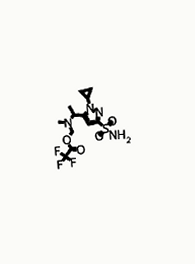 CC(c1cc(S(N)(=O)=O)nn1C1CC1)N(C)COC(=O)C(F)(F)F